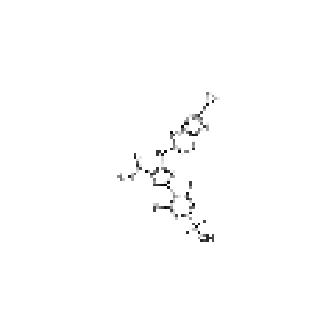 CC(C)(O)c1cc(F)c(-c2cc(C(N)=O)c(Nc3ccc4nc(C5CC5)cn4n3)s2)c(F)c1